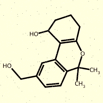 CC1(C)OC2=C(c3cc(CO)ccc31)C(O)CCC2